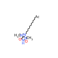 CC(=O)CCCCCCCCCCCCN1CN(C)c2c1n(C)c(=O)[nH]c2=O